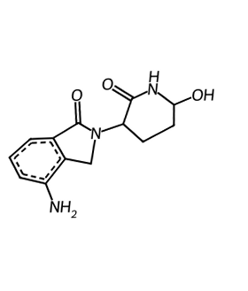 Nc1cccc2c1CN(C1CCC(O)NC1=O)C2=O